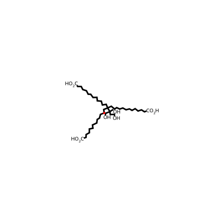 O=C(O)CCCCCCCCCCCCC(CCCCCCCCCCCCC(=O)O)(CCCCCCCCCCCCC(=O)O)C(CO)(CO)CCO